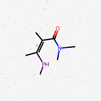 CP/C(C)=C(/C)C(=O)N(C)C